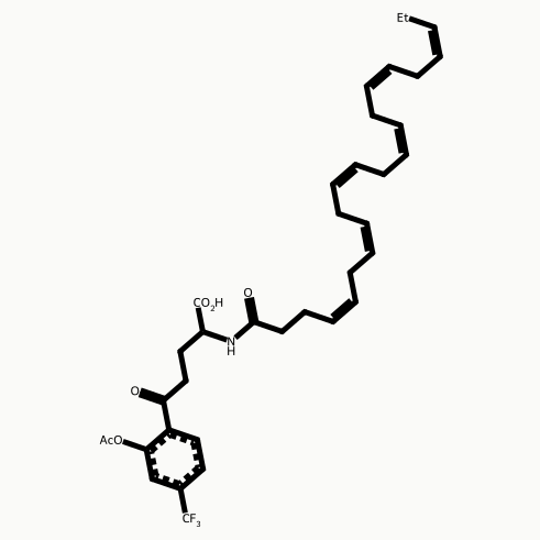 CC/C=C\C/C=C\C/C=C\C/C=C\C/C=C\C/C=C\CCC(=O)NC(CCC(=O)c1ccc(C(F)(F)F)cc1OC(C)=O)C(=O)O